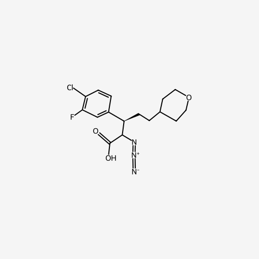 [N-]=[N+]=NC(C(=O)O)[C@H](CCC1CCOCC1)c1ccc(Cl)c(F)c1